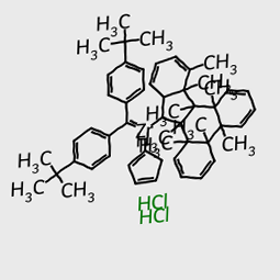 CC1=CC=CC2[CH]([Zr]([C]3=CC=CC3)=[C](c3ccc(C(C)(C)C)cc3)c3ccc(C(C)(C)C)cc3)C3(C)C4(C)C=CC=CC4(C)C4(C)C=CC=CC4(C)C3(C)C12C.Cl.Cl